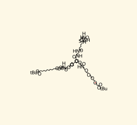 CC(C)(C)OC(=O)CCCCCCCCCCOOOONC(=O)COc1ccc(-c2cc(OCC(=O)NCCOCCOCCOCCOCCC(=O)OC(C)(C)C)cc(C(=O)NCCNC(=O)CCCC[C@@H]3SC[C@@H]4NC(=O)N[C@@H]43)c2)cc1